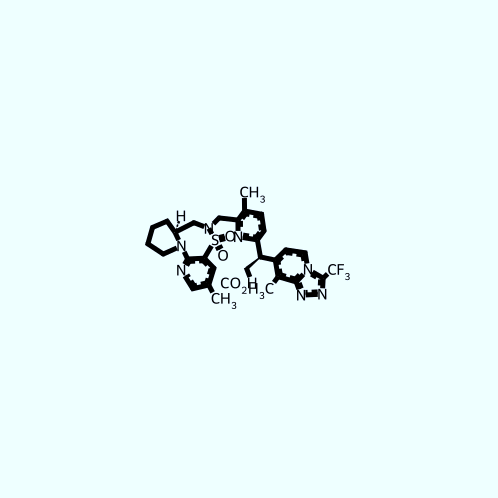 Cc1cnc2c(c1)S(=O)(=O)N(Cc1nc([C@H](CC(=O)O)c3ccn4c(C(F)(F)F)nnc4c3C)ccc1C)C[C@@H]1CCCCN21